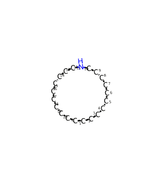 C1CCCCCCCCCCNCCCCCCCCC1